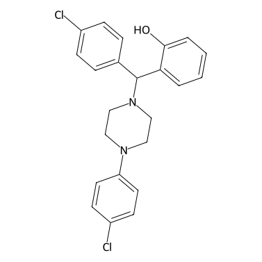 Oc1ccccc1C(c1ccc(Cl)cc1)N1CCN(c2ccc(Cl)cc2)CC1